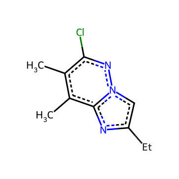 CCc1cn2nc(Cl)c(C)c(C)c2n1